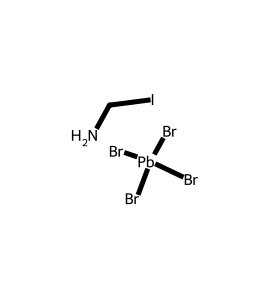 NCI.[Br][Pb]([Br])([Br])[Br]